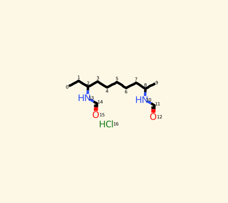 CCC(CCCCCC(C)NC=O)NC=O.Cl